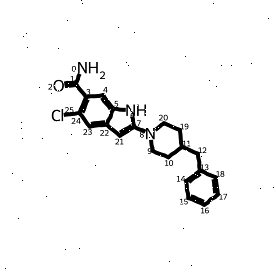 NC(=O)c1cc2[nH]c(N3CCC(Cc4ccccc4)CC3)cc2cc1Cl